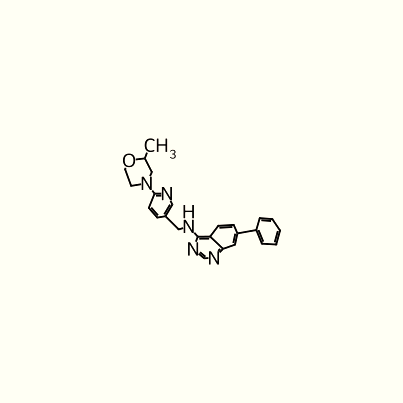 CC1CN(c2ccc(CNc3ncnc4cc(-c5ccccc5)ccc34)cn2)CCO1